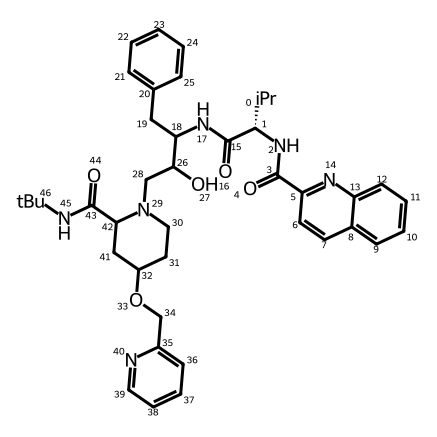 CC(C)[C@H](NC(=O)c1ccc2ccccc2n1)C(=O)NC(Cc1ccccc1)C(O)CN1CCC(OCc2ccccn2)CC1C(=O)NC(C)(C)C